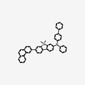 C[Si]1(C)c2cc(-c3ccc4ccc5ccccc5c4c3)ccc2-c2ccc(N(c3ccccc3)c3ccc(-c4ccccc4)cc3)cc21